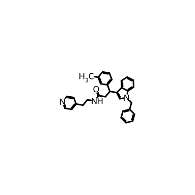 Cc1cccc(C(CC(=O)NCCc2ccncc2)c2cn(Cc3ccccc3)c3ccccc23)c1